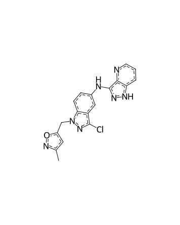 Cc1cc(Cn2nc(Cl)c3cc(Nc4n[nH]c5cccnc45)ccc32)on1